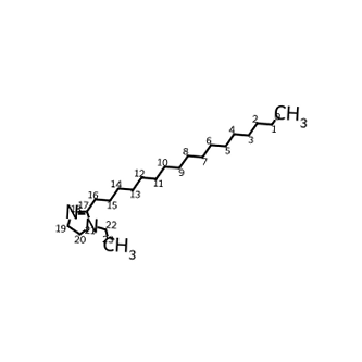 CCCCCCCCCCCCCCCCCC1=NCCN1CC